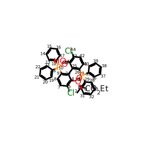 CCOC(=O)C(C)Oc1c(Cl)ccc(P(=O)(c2ccccc2)c2ccccc2)c1-c1c(P(=O)(c2ccccc2)c2ccccc2)ccc(Cl)c1O